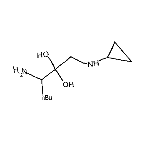 CCCCC(N)C(O)(O)CNC1CC1